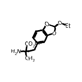 CCOC(=O)C(C)(N)Cc1ccc2c(c1)OC(OCC)O2